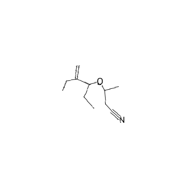 C=C(CC)C(CC)OC(C)CC#N